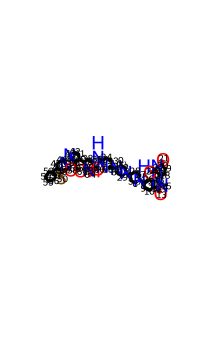 C[C@H]1CN(C2CCN(c3ccc4c(=O)n(C)n(C5CCC(=O)NC5=O)c4c3)CC2)CCN1c1ccc(Nc2cc(-c3ccnc(N4CCc5c(sc6c5CCCC6)C4=O)c3CO)cn(C)c2=O)nc1